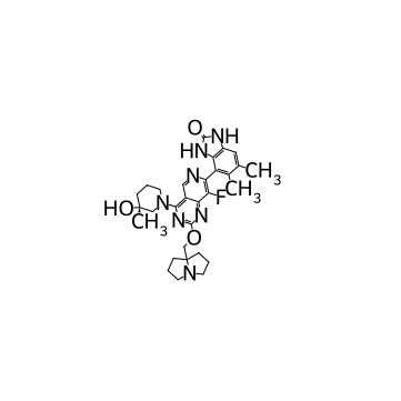 Cc1cc2[nH]c(=O)[nH]c2c(-c2ncc3c(N4CCC[C@@](C)(O)C4)nc(OCC45CCCN4CCC5)nc3c2F)c1C